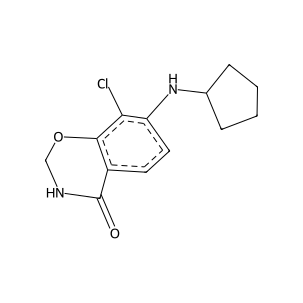 O=C1NCOc2c1ccc(NC1CCCC1)c2Cl